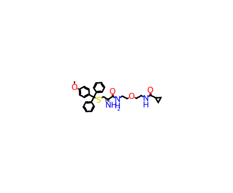 COc1ccc(C(SC[C@H](N)C(=O)NCCOCCNC(=O)C2CC2)(c2ccccc2)c2ccccc2)cc1